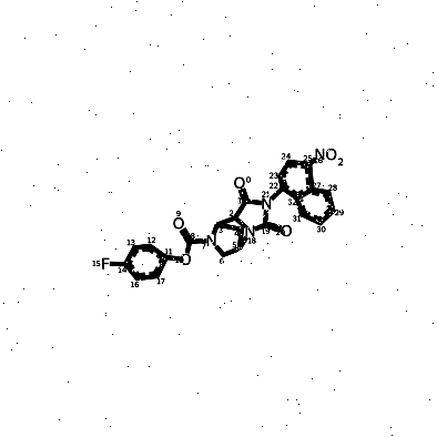 O=C1C2C3CC(CN3C(=O)Oc3ccc(F)cc3)N2C(=O)N1c1ccc([N+](=O)[O-])c2ccccc12